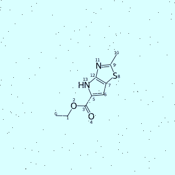 CCOC(=O)c1cc2sc(C)nc2[nH]1